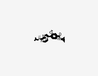 COc1cc(C(=O)NC2CC2)ccc1-c1cnc2c(NCC(C)C)nccn12